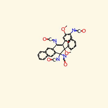 COc1cc(C2=C(N=C=O)c3cc4ccccc4cc3C(N=C=O)(N=C=O)C2(OC)c2ccccc2)ccc1N=C=O